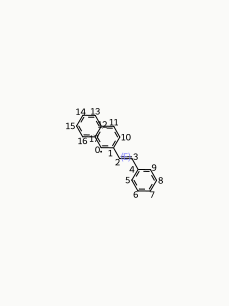 [c]1c(/C=C/c2ccccc2)ccc2ccccc12